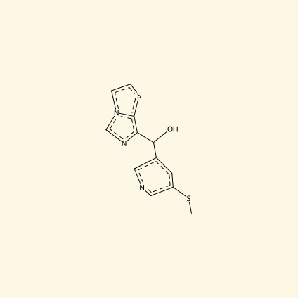 CSc1cncc(C(O)c2ncn3ccsc23)c1